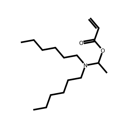 C=CC(=O)OC(C)N(CCCCCC)CCCCCC